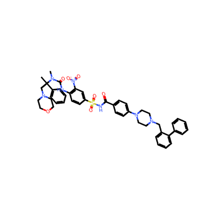 CN(C(=O)Nc1ccc(S(=O)(=O)NC(=O)c2ccc(N3CCN(Cc4ccccc4-c4ccccc4)CC3)cc2)cc1[N+](=O)[O-])C(C)(CN1CCOCC1)c1ccccc1